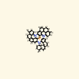 Cc1ccc2c3c1ccc1ccc4cc5c6c(c4c13)n2c1cc2ccc3ccc4c(C)ccc7c4c3c2c2c1p6c1c(cc3ccc4ccc6c(C)ccc8c6c4c3c1n85)n72